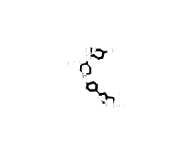 NC(=O)c1cc(-c2ccc(SN3CCC(Nc4ccc(C(F)(F)F)cn4)C(O)C3)cc2)n[nH]1